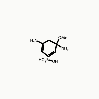 COC1(N)C=CC=C(N)C1.O=S(=O)(O)O